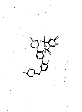 CN1CCN(c2ccc(-c3cc(CN4CCC(F)CC4)ccc3F)cc2NC(=O)c2c[nH]c(=O)cc2C(F)(F)F)CC1